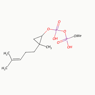 COP(=O)(O)OP(=O)(O)OC1CC1(C)CCC=C(C)C